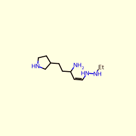 CCNN/C=C\C(N)CCC1CCNC1